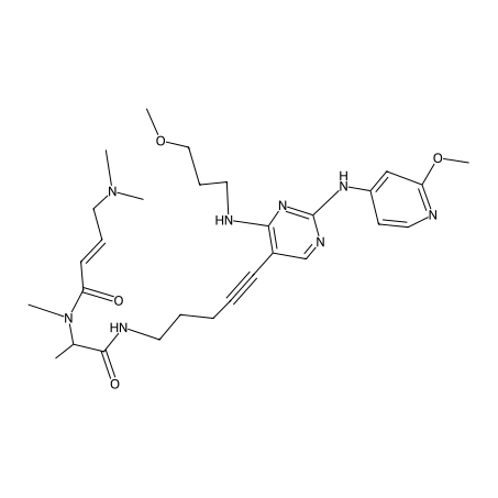 COCCCNc1nc(Nc2ccnc(OC)c2)ncc1C#CCCCNC(=O)C(C)N(C)C(=O)C=CCN(C)C